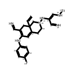 C=CC12CC(C=N)=C(Nc3ccc(F)cc3)C=C1CCN(N/C(C=N)=C/NCC)C2